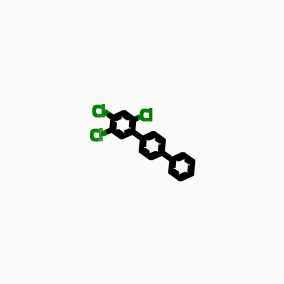 Clc1cc(Cl)c(-c2ccc(-c3ccccc3)cc2)cc1Cl